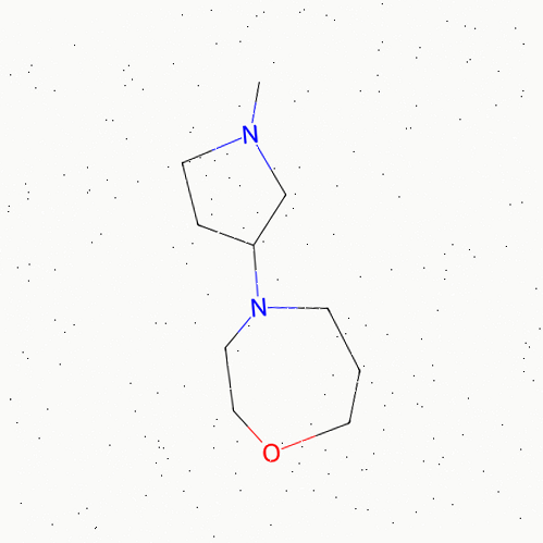 CN1CCC(N2CCCOCC2)C1